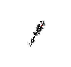 CC1CCC(C#Cc2cnc(-c3ccc4c(F)c(C#CC(F)(F)F)c(F)cc4c3)nc2)CC1